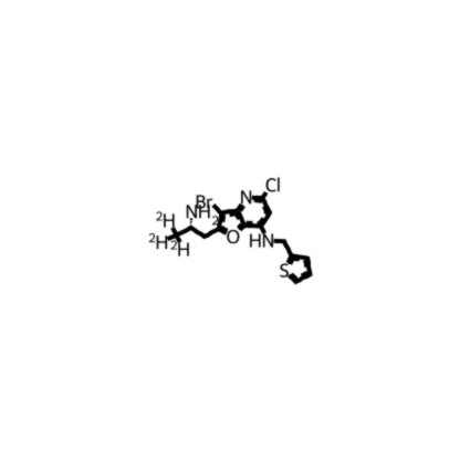 [2H]C([2H])([2H])[C@H](N)Cc1oc2c(NCc3cccs3)cc(Cl)nc2c1Br